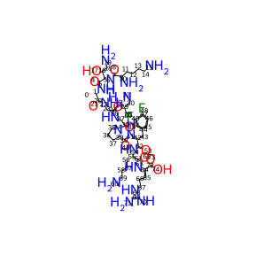 C[C@H](NC(=O)[C@@H](NC(=O)[C@@H](N)CCCCN)[C@@H](O)CN)C(=O)NCC(=O)N[C@H](CCCN)C(=O)N1CCC[C@H]1C(=O)N[C@@H](Cc1ccc(F)c(F)c1)C(=O)N[C@@H](CCCCN)C(=O)N/C(=C\CCNC(=N)N)C(=O)O